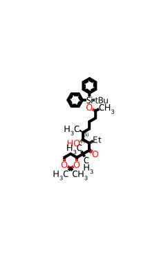 CCC(C(=O)C(C)(C)C1CCOC(C)(C)O1)[C@H](O)[C@@H](C)CCCC(C)O[Si](c1ccccc1)(c1ccccc1)C(C)(C)C